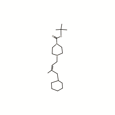 CC(=CCN1CCN(C(=O)OC(C)(C)C)CC1)CC1CCCCC1